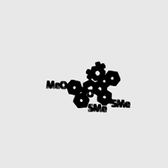 COc1ccc(C2(c3ccccc3)C=Cc3c4c(c5cc(SC)c(SC)cc5c3O2)-c2ccccc2C42CC(C)(C)CC(C)(C)C2)cc1